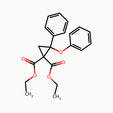 CCOC(=O)C1(C(=O)OCC)CC1(Oc1ccccc1)c1ccccc1